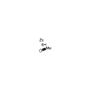 [KH].[O]=[Mn].[Zn]